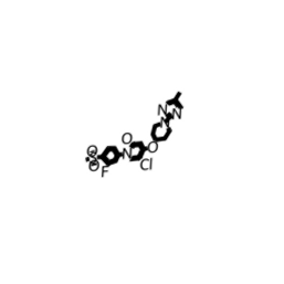 Cc1cnc(N2CCC(Oc3cc(=O)n(-c4ccc(S(C)(=O)=O)c(F)c4)cc3Cl)CC2)nc1